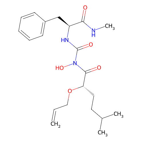 C=CCO[C@@H](CCC(C)C)C(=O)N(O)C(=O)N[C@@H](Cc1ccccc1)C(=O)NC